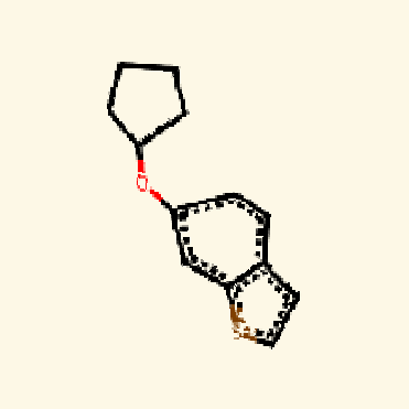 c1cc2ccc(OC3CCCC3)cc2s1